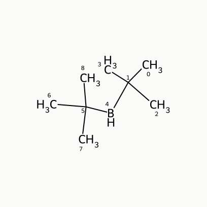 CC(C)(C)BC(C)(C)C